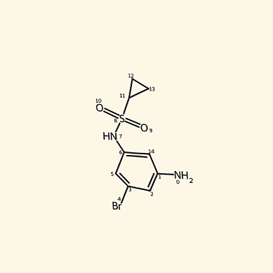 Nc1cc(Br)cc(NS(=O)(=O)C2CC2)c1